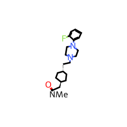 CNC(=O)C[C@H]1CC[C@H](CCN2CCN(c3ccccc3F)CC2)CC1